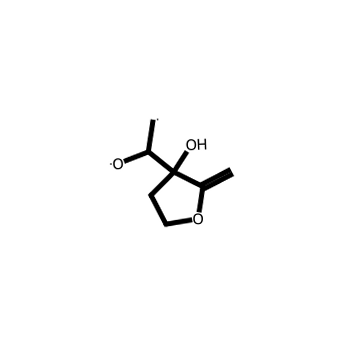 [CH2]C([O])C1(O)CCOC1=C